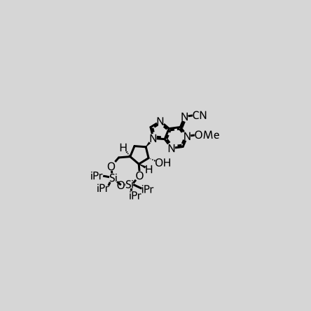 COn1cnc2c(ncn2[C@@H]2C[C@@H]3CO[Si](C(C)C)(C(C)C)O[Si](C(C)C)(C(C)C)O[C@H]3[C@H]2O)c1=NC#N